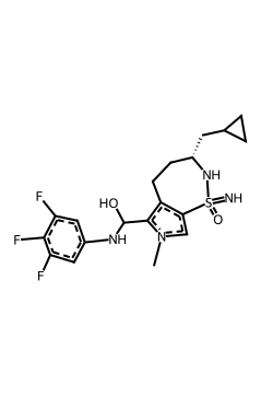 Cn1cc2c(c1C(O)Nc1cc(F)c(F)c(F)c1)CC[C@H](CC1CC1)NS2(=N)=O